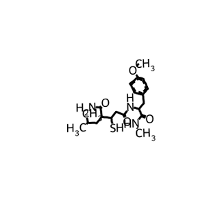 CNC(=O)C(Cc1ccc(OC)cc1)NC(=O)CC(S)C(CC(C)C)C(N)=O